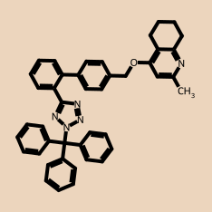 Cc1cc(OCc2ccc(-c3ccccc3-c3nnn(C(c4ccccc4)(c4ccccc4)c4ccccc4)n3)cc2)c2c(n1)CCCC2